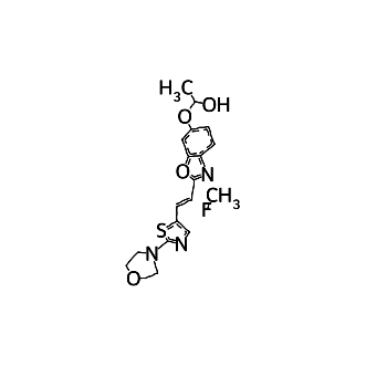 CC(O)Oc1ccc2nc(C=Cc3cnc(N4CCOCC4)s3)oc2c1.CF